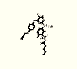 C#CCOc1ccc(Nc2nc(Nc3ccc(C)c(S(=O)(=O)NC(=O)CCCC)c3)ncc2F)cc1.[NaH]